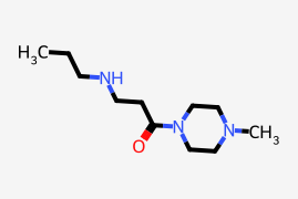 CCCNCCC(=O)N1CCN(C)CC1